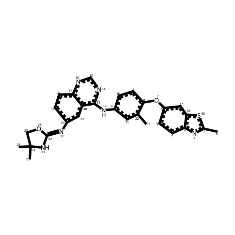 Cc1nc2ccc(Oc3ccc(Nc4ncnc5ccc(/N=C6/NC(C)(C)CO6)cc45)cc3C)cc2s1